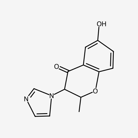 CC1Oc2ccc(O)cc2C(=O)C1n1ccnc1